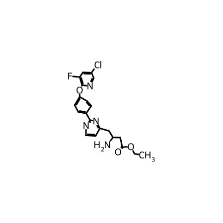 CCOC(=O)CC(N)Cc1ccnc(-c2ccc(Oc3ncc(Cl)cc3F)cc2)n1